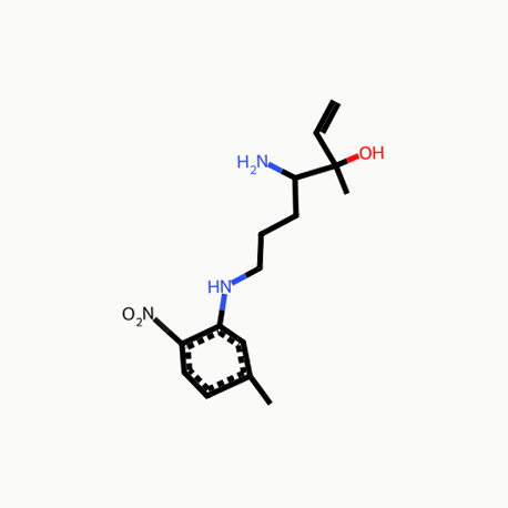 C=CC(C)(O)C(N)CCCNc1cc(C)ccc1[N+](=O)[O-]